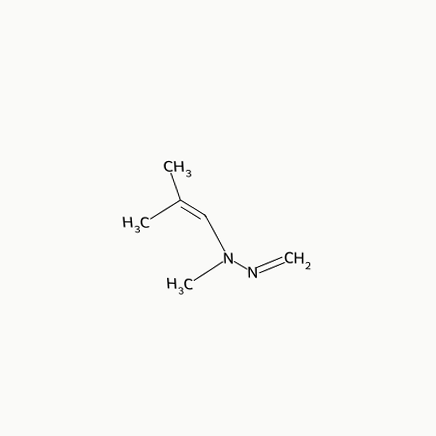 C=NN(C)C=C(C)C